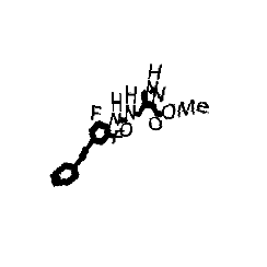 COC(=O)c1n[nH]cc1CNC(=O)Nc1c(F)cc(C#Cc2ccccc2)cc1F